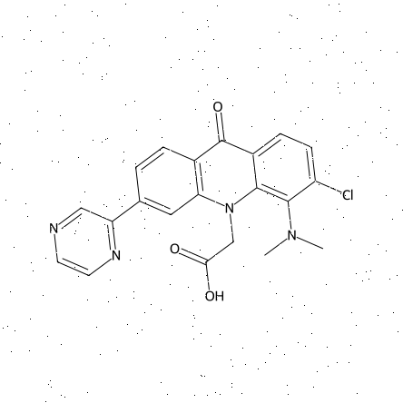 CN(C)c1c(Cl)ccc2c(=O)c3ccc(-c4cnccn4)cc3n(CC(=O)O)c12